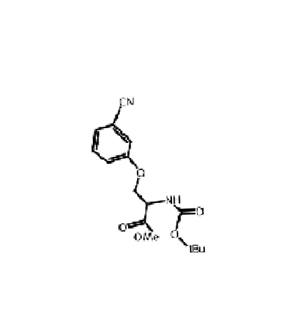 COC(=O)C(COc1cccc(C#N)c1)NC(=O)OC(C)(C)C